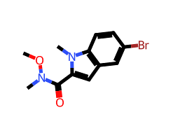 CON(C)C(=O)c1cc2cc(Br)ccc2n1C